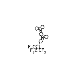 FC(F)(F)c1cc(-c2ccc(-n3c4ccccc4c4cc(-n5c6ccccc6c6ccccc65)ccc43)cc2)cc(C(F)(F)F)c1C(F)(F)F